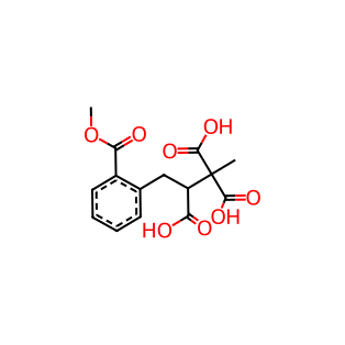 COC(=O)c1ccccc1CC(C(=O)O)C(C)(C(=O)O)C(=O)O